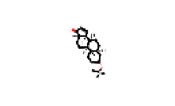 C[C@]12CC[C@H](O[Si](C)(C)C)C[C@@H]1CC[C@@H]1[C@@H]2CC[C@]2(C)C(=O)C=C[C@@H]12